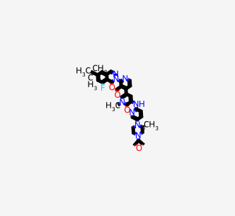 C[C@H]1CN(C2COC2)CCN1c1ccc(Nc2cc(-c3ccnc(-n4ncc5cc(C(C)(C)C)cc(F)c5c4=O)c3C=O)cn(C)c2=O)nc1